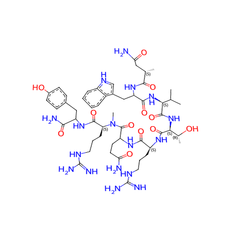 CC(C)[C@H](NC(=O)C(Cc1c[nH]c2ccccc12)NC(=O)[C@@H](C)CC(N)=O)C(=O)N[C@H](C(=O)N[C@@H](CCCNC(=N)N)C(=O)NC(CCC(N)=O)C(=O)N(C)[C@@H](CCCNC(=N)N)C(=O)NC(Cc1ccc(O)cc1)C(N)=O)[C@@H](C)O